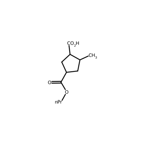 CCCOC(=O)C1CC(C)C(C(=O)O)C1